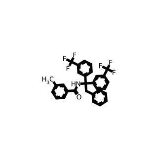 Cc1cccc(C(=O)NC(Cc2ccccc2)(c2cccc(C(F)(F)F)c2)c2cccc(C(F)(F)F)c2)c1